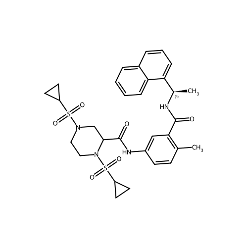 Cc1ccc(NC(=O)C2CN(S(=O)(=O)C3CC3)CCN2S(=O)(=O)C2CC2)cc1C(=O)N[C@H](C)c1cccc2ccccc12